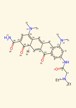 CCN(CC)CC(=O)Nc1cc2c(c(N(C)C)c1)CC1=CC3=C(N(C)C)C=C(C(N)=O)C(=O)[C@@H]3C=C1C2=O